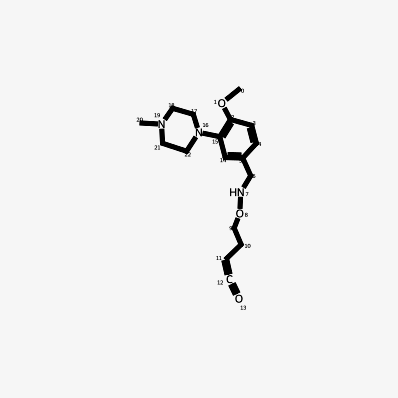 COc1ccc(CNOCCC=C=O)cc1N1CCN(C)CC1